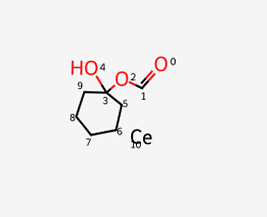 O=COC1(O)CCCCC1.[Ce]